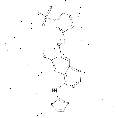 COc1cc2c(Nc3nccs3)ncnc2cc1OCc1cccc(S(C)(=O)=O)c1